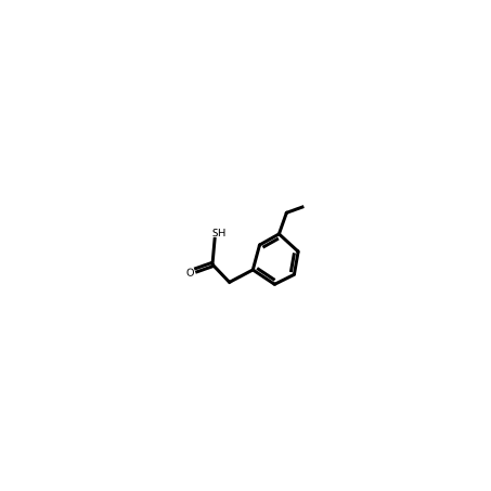 CCc1cccc(CC(=O)S)c1